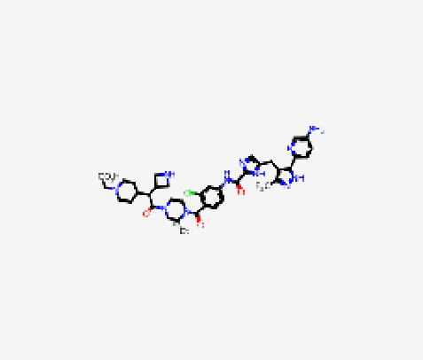 CC[C@@H]1CN(C(=O)C(C2CCN(CC(=O)O)CC2)C2CNC2)CCN1C(=O)c1ccc(NC(=O)c2ncc(Cc3c(C(F)(F)F)n[nH]c3-c3ccc(N)cn3)[nH]2)cc1Cl